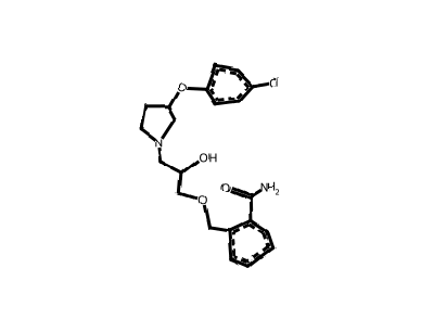 NC(=O)c1ccccc1COCC(O)CN1CCC(Oc2ccc(Cl)cc2)C1